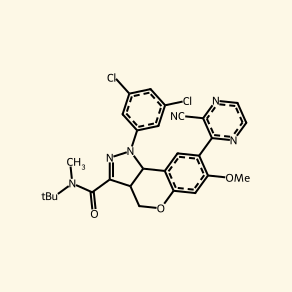 COc1cc2c(cc1-c1nccnc1C#N)C1C(CO2)C(C(=O)N(C)C(C)(C)C)=NN1c1cc(Cl)cc(Cl)c1